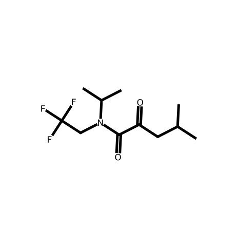 CC(C)CC(=O)C(=O)N(CC(F)(F)F)C(C)C